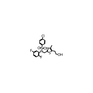 Cc1nc(CN(c2cc(F)ccc2F)S(=O)(=O)c2ccc(Cl)cc2)sc1CCO